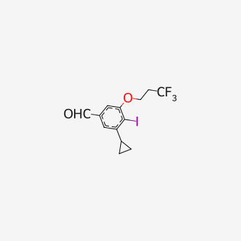 O=Cc1cc(OCCC(F)(F)F)c(I)c(C2CC2)c1